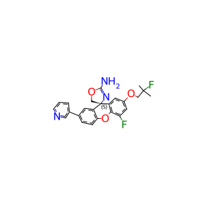 CC(C)(F)COc1cc(F)c2c(c1)[C@]1(COC(N)=N1)c1cc(-c3cccnc3)ccc1O2